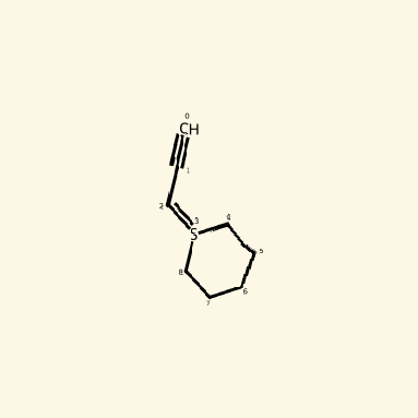 C#CC=S1CCCCC1